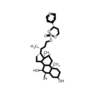 CC(C)[C@@H]1C2C[C@H](O)CC[C@]2(C)C2CC[C@@]3(C)C(CC[C@@H]3[C@H](C)CCO[P@@]3(=O)OCC[C@@H](c4ccncc4)O3)C2[C@@H]1O